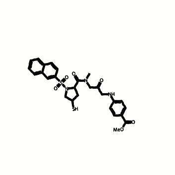 COC(=O)c1ccc(NCC(=O)CN(C)C(=O)C2CC(S)CN2S(=O)(=O)c2ccc3ccccc3c2)cc1